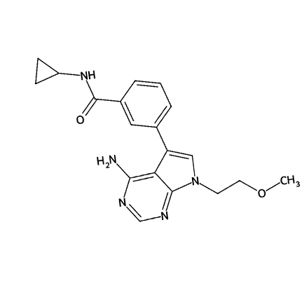 COCCn1cc(-c2cccc(C(=O)NC3CC3)c2)c2c(N)ncnc21